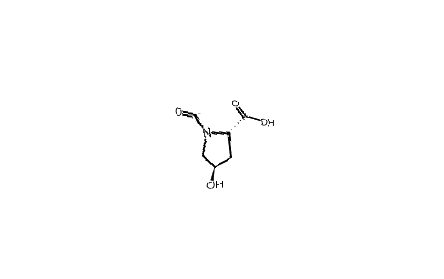 O=[C]N1C[C@H](O)C[C@H]1C(=O)O